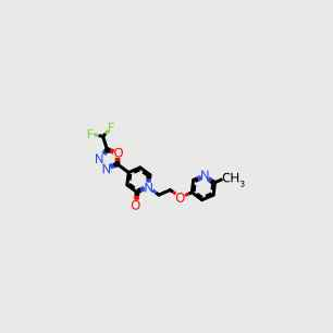 Cc1ccc(OCCn2ccc(-c3nnc(C(F)F)o3)cc2=O)cn1